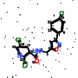 O=C(NCc1cc(-c2ccc(Cl)cc2)no1)c1cc(Cl)cnc1Cl